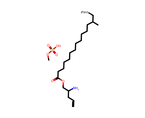 C=CCC(N)COC(=O)CCCCCCCCCCCC(C)CC(C)CCC.COS(=O)(=O)O